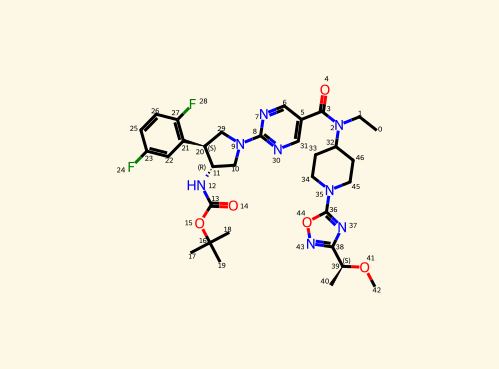 CCN(C(=O)c1cnc(N2C[C@H](NC(=O)OC(C)(C)C)[C@@H](c3cc(F)ccc3F)C2)nc1)C1CCN(c2nc([C@H](C)OC)no2)CC1